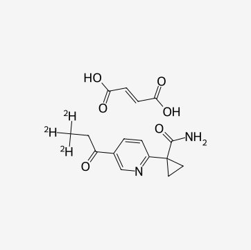 O=C(O)/C=C/C(=O)O.[2H]C([2H])([2H])CC(=O)c1ccc(C2(C(N)=O)CC2)nc1